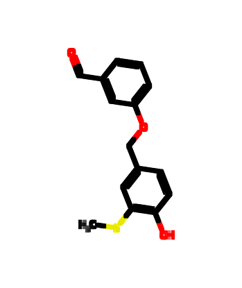 CSc1cc(COc2cccc(C=O)c2)ccc1O